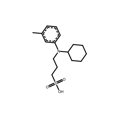 Cc1cccc(N(CCCS(=O)(=O)O)C2CCCCC2)c1